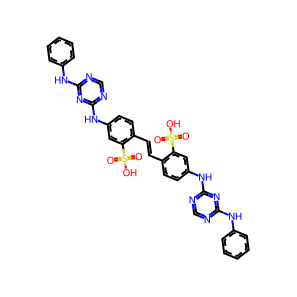 O=S(=O)(O)c1cc(Nc2ncnc(Nc3ccccc3)n2)ccc1C=Cc1ccc(Nc2ncnc(Nc3ccccc3)n2)cc1S(=O)(=O)O